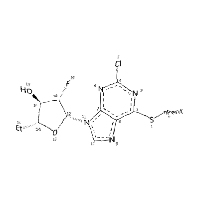 CCCCCSc1nc(Cl)nc2c1ncn2[C@@H]1O[C@H](CC)[C@@H](O)[C@@H]1F